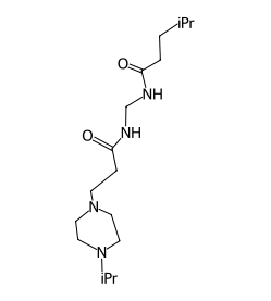 CC(C)CCC(=O)NCNC(=O)CCN1CCN(C(C)C)CC1